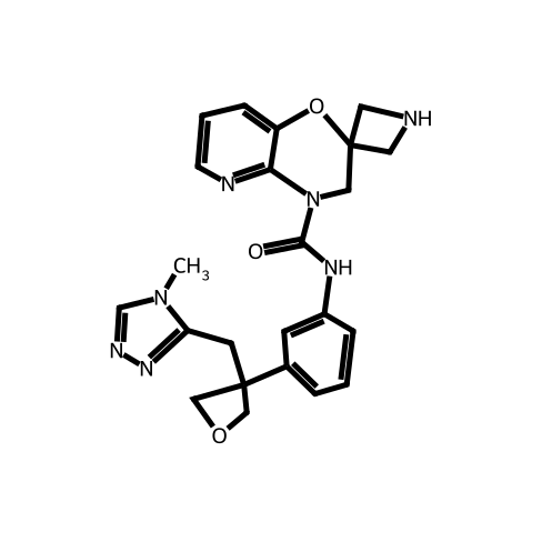 Cn1cnnc1CC1(c2cccc(NC(=O)N3CC4(CNC4)Oc4cccnc43)c2)COC1